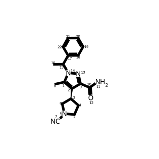 Cc1c([C@H]2CCN(C#N)C2)c(C(N)=O)nn1C(C)c1ccccc1